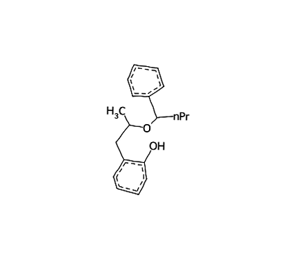 CCCC(OC(C)Cc1ccccc1O)c1ccccc1